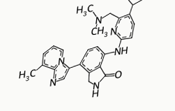 Cc1cccn2c(-c3ccc(Nc4ccc(C5CCOC5)c(CN(C)C)n4)c4c3CNC4=O)cnc12